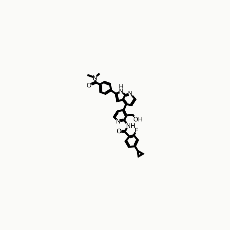 CN(C)C(=O)c1ccc(-c2cc3c(-c4ccnc(NC(=O)c5ccc(C6CC6)cc5F)c4CO)ccnc3[nH]2)cc1